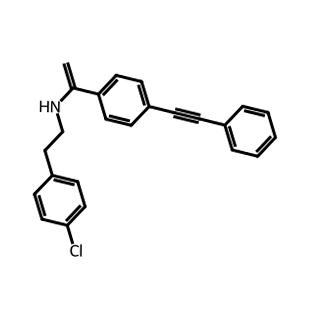 C=C(NCCc1ccc(Cl)cc1)c1ccc(C#Cc2ccccc2)cc1